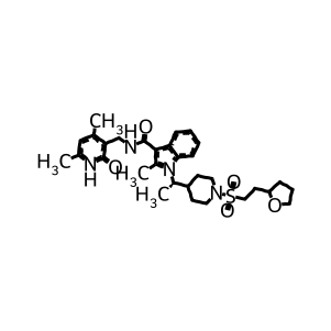 Cc1cc(C)c(CNC(=O)c2c(C)n([C@H](C)C3CCN(S(=O)(=O)CCC4CCCO4)CC3)c3ccccc23)c(=O)[nH]1